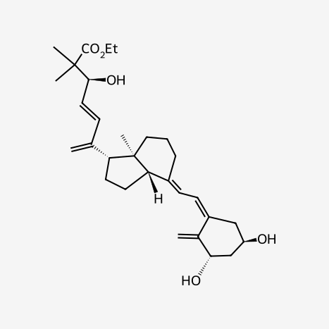 C=C(/C=C/[C@H](O)C(C)(C)C(=O)OCC)[C@H]1CC[C@H]2/C(=C/C=C3/C[C@@H](O)C[C@H](O)C3=C)CCC[C@]12C